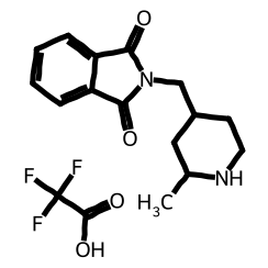 CC1CC(CN2C(=O)c3ccccc3C2=O)CCN1.O=C(O)C(F)(F)F